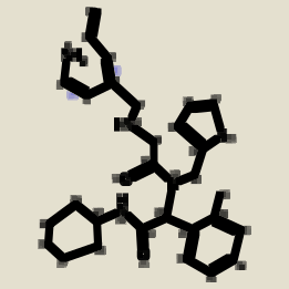 C=C/C=C(\C=C/N)CNCC(=O)N(Cc1cccs1)C(C(=O)NC1CCCCC1)c1ccccc1C